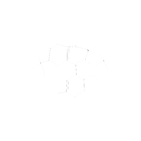 COc1ccc(Cl)cc1-c1c(SC(C)(C)C)c(=O)[nH]c2ccc(C(F)(F)F)cc12